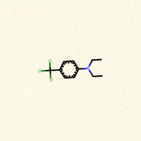 CCN(CC)c1ccc(C(Cl)(Cl)Cl)cc1